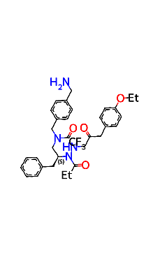 CCOc1ccc(CC(=O)CNN(C(=O)CC)[C@@H](Cc2ccccc2)CN(Cc2ccc(CN)cc2)C(=O)C(F)(F)F)cc1